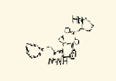 O=C(OC(=O)C1(c2c(Cc3ccccc3)n[nH]c2Cl)CC1)C1CCCN1